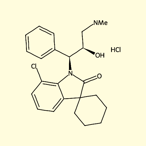 CNC[C@@H](O)[C@H](c1ccccc1)N1C(=O)C2(CCCCC2)c2cccc(Cl)c21.Cl